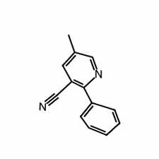 Cc1cnc(-c2ccccc2)c(C#N)c1